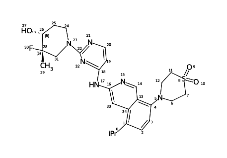 CC(C)c1ccc(N2CCS(=O)(=O)CC2)c2cnc(Nc3ccnc(N4CC[C@@H](O)[C@@](C)(F)C4)n3)cc12